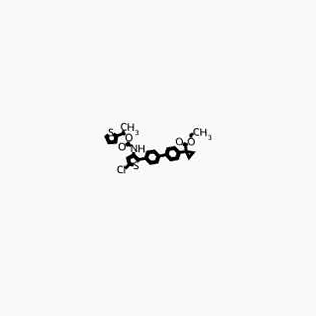 CCOC(=O)C1(c2ccc(-c3ccc(-c4sc(Cl)cc4NC(=O)OC(C)c4cccs4)cc3)cc2)CC1